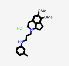 COc1cc2c3c(c1OC)CCC3N(CCCNc1cccc(C)c1)CC2.Cl